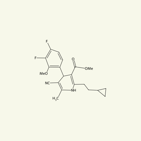 COC(=O)C1=C(CCC2CC2)NC(C)=C(C#N)C1c1ccc(F)c(F)c1OC